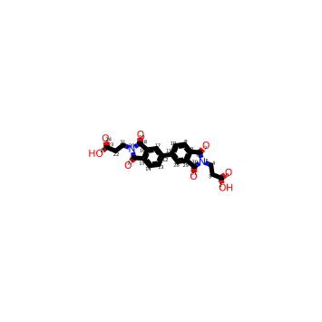 O=C(O)CCN1C(=O)c2ccc(-c3ccc4c(c3)C(=O)N(CCC(=O)O)C4=O)cc2C1=O